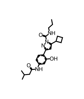 CCCNC(=O)n1nc(-c2ccc(NC(=O)CC(C)C)cc2O)cc1C1CCC1